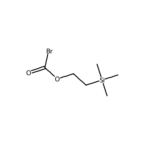 C[Si](C)(C)CCOC(=O)Br